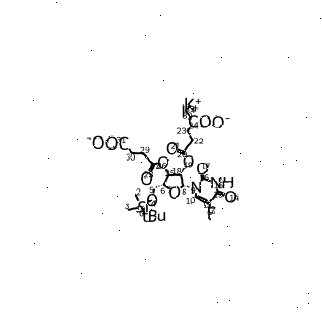 CC(C)(C)[Si](C)(C)OC[C@H]1O[C@@H](n2cc(F)c(=O)[nH]c2=O)[C@H](OC(=O)CCC(=O)[O-])[C@@H]1OC(=O)CCC(=O)[O-].[K+].[K+]